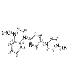 CC(C)(C)N1CCN(c2ccc(N3CCN(C=O)c4ccccc43)nc2)CC1